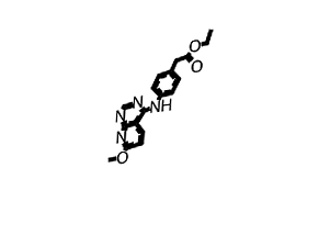 CCOC(=O)Cc1ccc(Nc2ncnc3nc(OC)ccc23)cc1